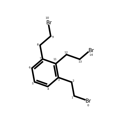 BrCCc1cccc(CCBr)c1CCBr